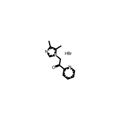 Br.Cc1ncn(CC(=O)c2ccccn2)c1C